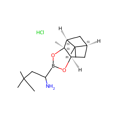 CC(C)(C)CC(N)B1O[C@@H]2C[C@@H]3C[C@@H](C3(C)C)[C@]2(C)O1.Cl